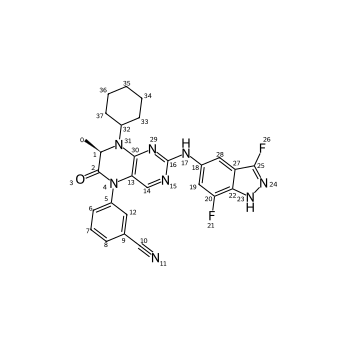 C[C@@H]1C(=O)N(c2cccc(C#N)c2)c2cnc(Nc3cc(F)c4[nH]nc(F)c4c3)nc2N1C1CCCCC1